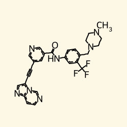 CN1CCN(Cc2ccc(NC(=O)c3cncc(C#Cc4cnc5ccncn45)c3)cc2C(F)(F)F)CC1